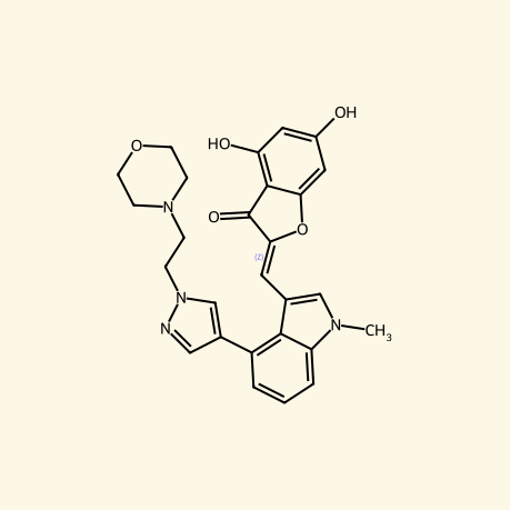 Cn1cc(/C=C2\Oc3cc(O)cc(O)c3C2=O)c2c(-c3cnn(CCN4CCOCC4)c3)cccc21